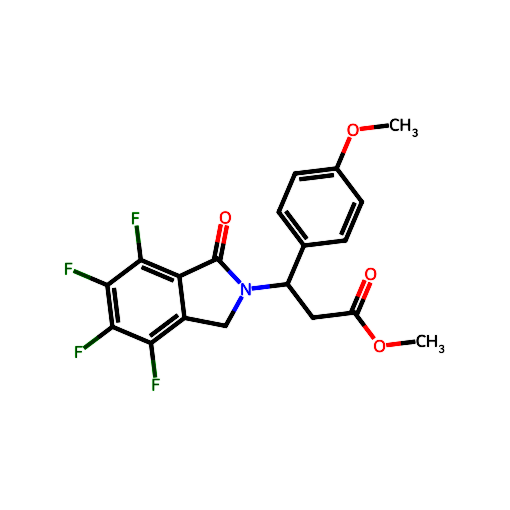 COC(=O)CC(c1ccc(OC)cc1)N1Cc2c(F)c(F)c(F)c(F)c2C1=O